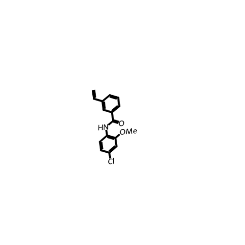 C=Cc1cccc(C(=O)Nc2ccc(Cl)cc2OC)c1